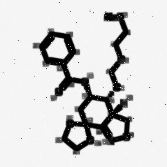 COCCOCO[C@@H]1[C@@H]2CON=C2C2(C[C@H]1OC(=O)c1ccccc1)OCCO2